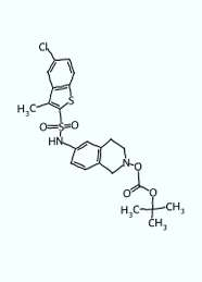 Cc1c(S(=O)(=O)Nc2ccc3c(c2)CCN(OC(=O)OC(C)(C)C)C3)sc2ccc(Cl)cc12